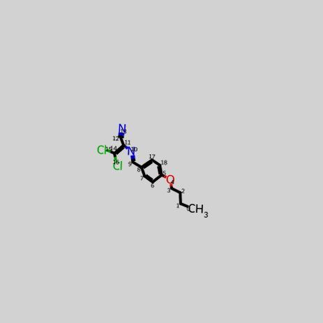 CCCCOc1ccc(C=NC(C#N)=C(Cl)Cl)cc1